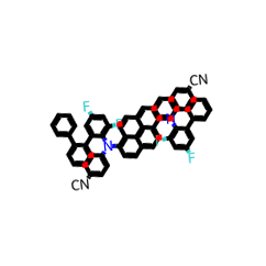 [C-]#[N+]c1ccc(N(c2c(F)cc(F)cc2-c2ccccc2-c2ccccc2)c2ccc3ccc4c(N(c5ccc(C#N)cc5)c5c(F)cc(F)cc5-c5ccccc5-c5ccccc5)ccc5ccc2c3c54)cc1